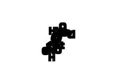 CCC1(c2ccc(NC(=O)OCCl)cc2)CCC(=O)NC1=O